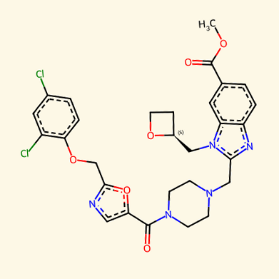 COC(=O)c1ccc2nc(CN3CCN(C(=O)c4cnc(COc5ccc(Cl)cc5Cl)o4)CC3)n(C[C@@H]3CCO3)c2c1